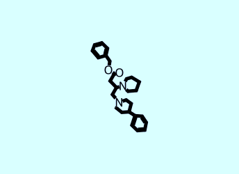 O=C(CC(CN1CCC(c2ccccc2)CC1)N1CCCCC1)OCc1ccccc1